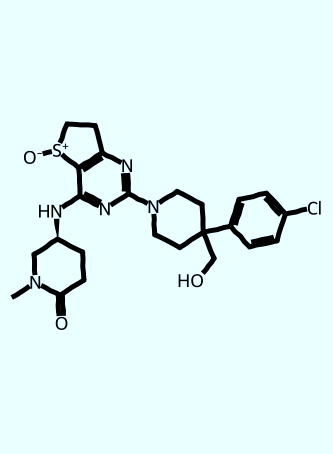 CN1C[C@@H](Nc2nc(N3CCC(CO)(c4ccc(Cl)cc4)CC3)nc3c2[S+]([O-])CC3)CCC1=O